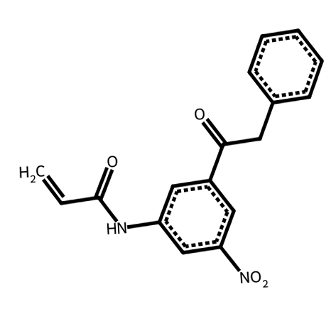 C=CC(=O)Nc1cc(C(=O)Cc2ccccc2)cc([N+](=O)[O-])c1